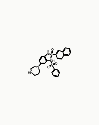 O=S(=O)(Nc1ccc(N2CCCNCC2)cc1NS(=O)(=O)c1ccccc1)c1ccc2ccccc2c1